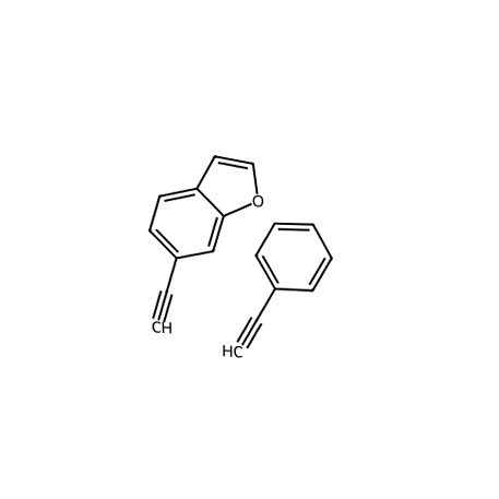 C#Cc1ccc2ccoc2c1.C#Cc1ccccc1